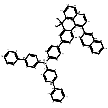 CC1(C)c2cc(-c3ccc(N(c4ccc(-c5ccccc5)cc4)c4ccc(-c5ccccc5)cc4)cc3)ccc2-c2c(-c3ccc4ccccc4c3)ccc3cccc1c23